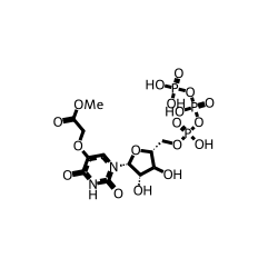 COC(=O)COc1cn([C@@H]2O[C@H](COP(=O)(O)OP(=O)(O)OP(=O)(O)O)C(O)[C@@H]2O)c(=O)[nH]c1=O